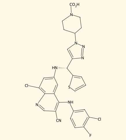 N#Cc1cnc2c(Cl)cc(N[C@H](c3cn(C4CCN(C(=O)O)CC4)nn3)c3cccs3)cc2c1Nc1ccc(F)c(Cl)c1